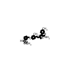 CO[PH](O)(O)c1cccc(COc2ccc(CCc3cnc4c(N)nc5cc(C)ccc5c4c3)c(C)c2)c1